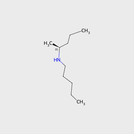 CCCCCN[C@@H](C)CCC